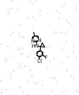 Cc1cnc(NC2(c3ccc(Cl)c(F)c3)CC2)nc1